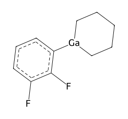 Fc1ccc[c]([Ga]2[CH2]CCC[CH2]2)c1F